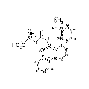 CC(CC(=O)c1ccccc1-c1ccccc1)CC(N)C(=O)O.NCc1ccccn1